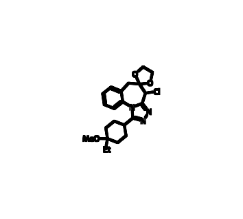 CCC1(OC)CCC(c2nnc3n2-c2ccccc2CC2(OCCO2)C3Cl)CC1